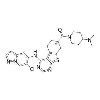 CN(C)C1CCN(C(=O)[C@H]2CCc3c(sc4ncnc(Nc5cc6ccnn6cc5Cl)c34)C2)CC1